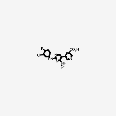 CC(C)Nc1nc(Nc2ccc(F)c(Cl)c2)ncc1-c1cncc(C(=O)O)c1